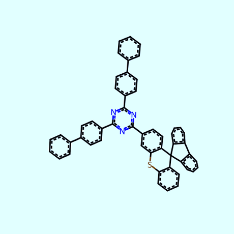 c1ccc(-c2ccc(-c3nc(-c4ccc(-c5ccccc5)cc4)nc(-c4ccc5c(c4)Sc4ccccc4C54c5ccccc5-c5ccccc54)n3)cc2)cc1